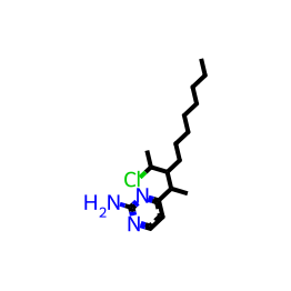 CCCCCCCCC(C(C)Cl)C(C)c1ccnc(N)n1